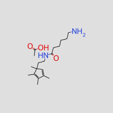 CC(=O)O.CC1=CC(C)(CCNC(=O)CCCCCN)C(C)=C1C